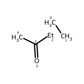 CC.CCC(C)=O